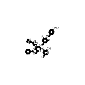 COc1ccc(COc2c(F)cc(CO[C@H]3C(n4cc(-c5nccs5)nn4)[C@H]4OC(c5ccccc5)OCC4O[C@@H]3Sc3cc(Cl)cnc3C#N)cc2F)cc1